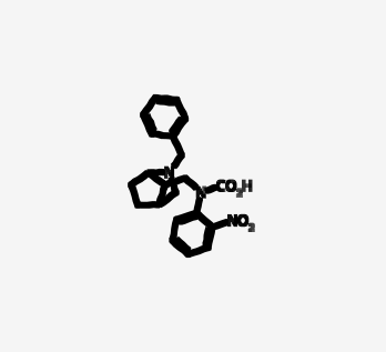 O=C(O)N(CC1C2CCC1N(Cc1ccccc1)C2)c1ccccc1[N+](=O)[O-]